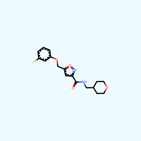 O=C(NCC1CCOCC1)c1cc(COc2cccc(F)c2)on1